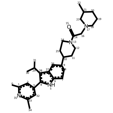 Cc1cc(-c2[nH]c3ccc(C4CCN(C(=O)CN5CCCC(C)C5)CC4)cc3c2C(C)C)cc(C)n1